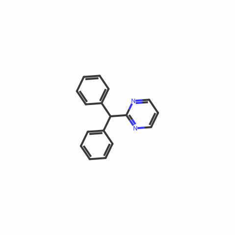 c1ccc([C](c2ccccc2)c2ncccn2)cc1